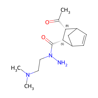 CC(=O)[C@@H]1C2C=CC(C2)[C@@H]1C(=O)N(N)CCN(C)C